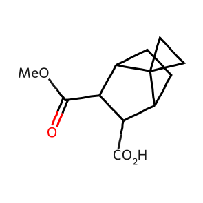 COC(=O)C1C(C(=O)O)C2CCC1C21CC1